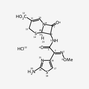 CON=C(C(=O)NC1C(=O)N2C=C(C(=O)O)CS[C@H]12)c1csc(N)n1.Cl